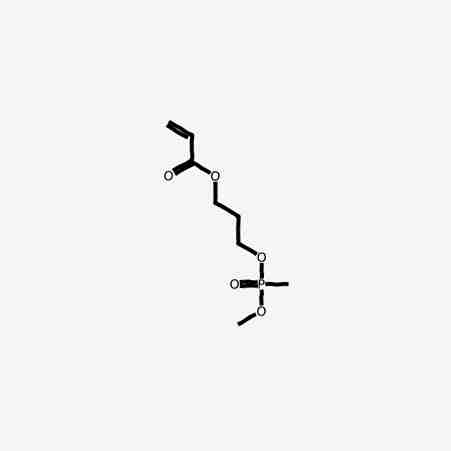 C=CC(=O)OCCCOP(C)(=O)OC